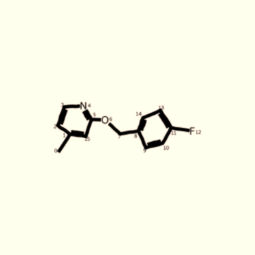 Cc1ccnc(OCc2ccc(F)cc2)c1